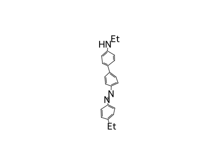 CCNc1ccc(-c2ccc(N=Nc3ccc(CC)cc3)cc2)cc1